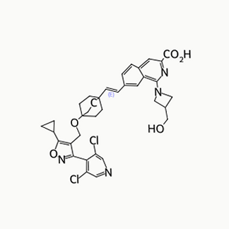 O=C(O)c1cc2ccc(/C=C/C34CCC(OCc5c(-c6c(Cl)cncc6Cl)noc5C5CC5)(CC3)CC4)cc2c(N2CC(CO)C2)n1